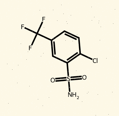 NS(=O)(=O)c1cc(C(F)(F)F)ccc1Cl